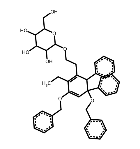 CCC1=C(CCOC2OC(CO)C(O)C(O)C2O)C(c2ccccc2)C(OCc2ccccc2)(c2ccccc2)C=C1OCc1ccccc1